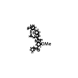 COc1cc(C(=O)N2CC3CCC2C3)cc2nc(-c3cc4ccc(-c5ccnc(F)c5F)nc4n3CC3CC3)n(C)c12